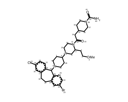 COCCC1CN(C2CCN(C3c4ccc(Cl)cc4CCc4cc(Br)cnc43)CC2)CCN1C(=O)CC1CCN(C(N)=O)CC1